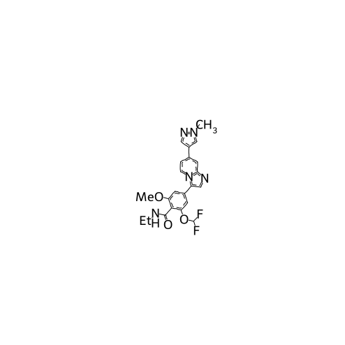 CCNC(=O)c1c(OC)cc(-c2cnc3cc(-c4cnn(C)c4)ccn23)cc1OC(F)F